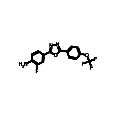 Nc1ccc(-c2nnc(-c3ccc(OC(F)(F)F)cc3)o2)cc1F